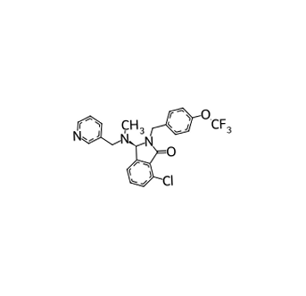 CN(Cc1cccnc1)[C@@H]1c2cccc(Cl)c2C(=O)N1Cc1ccc(OC(F)(F)F)cc1